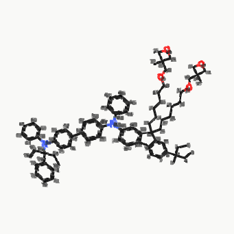 CCC(C)(CC)c1ccc2c(c1)C(CCCCCCOCC1(C)COC1)(CCCCCCOCC1(C)COC1)c1cc(N(c3ccccc3)c3ccc(-c4ccc(N(c5ccccc5)C(CC)(CC)c5ccccc5)cc4)cc3)ccc1-2